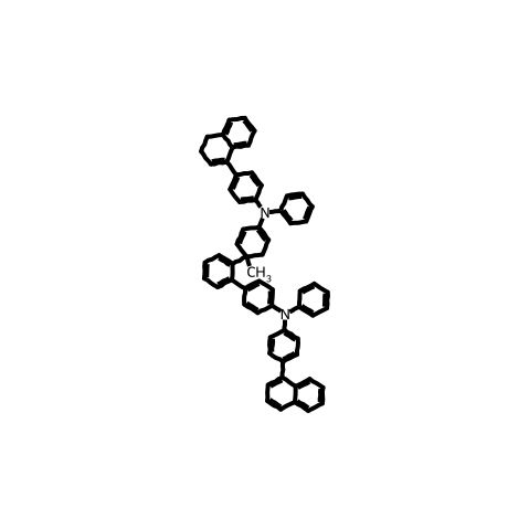 CC1(c2ccccc2-c2ccc(N(c3ccccc3)c3ccc(-c4cccc5ccccc45)cc3)cc2)C=CC(N(c2ccccc2)c2ccc(C3=CCCc4ccccc43)cc2)=CC1